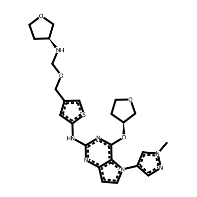 Cn1cc(-n2ccc3nc(Nc4cc(COCN[C@H]5CCOC5)cs4)nc(O[C@H]4CCOC4)c32)cn1